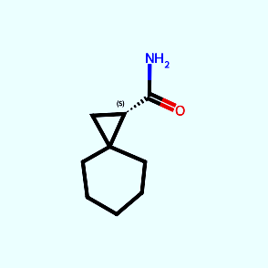 NC(=O)[C@H]1CC12CCCCC2